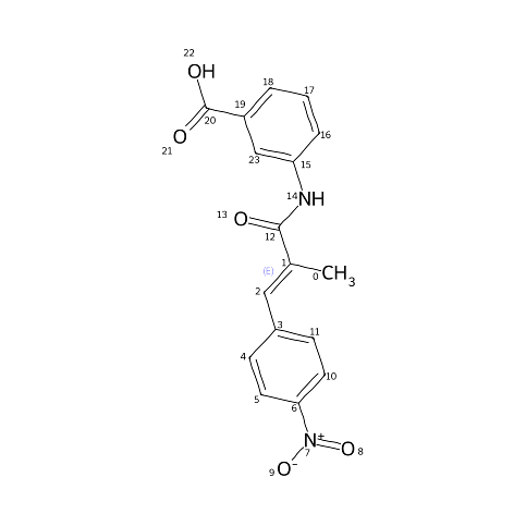 C/C(=C\c1ccc([N+](=O)[O-])cc1)C(=O)Nc1cccc(C(=O)O)c1